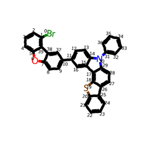 Brc1cccc2oc3ccc(-c4ccc5c(c4)c4c6sc7ccccc7c6ccc4n5-c4ccccc4)cc3c12